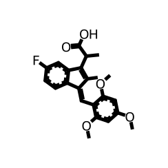 COc1cc(OC)c(/C=C2\C(C)=C(C(C)C(=O)O)c3cc(F)ccc32)c(OC)c1